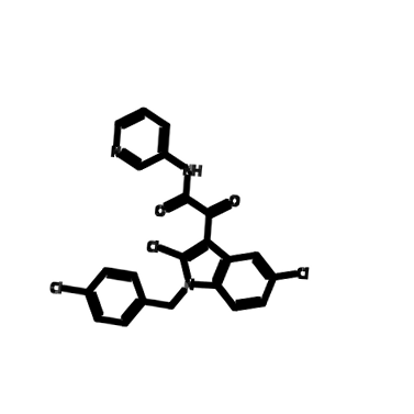 O=C(Nc1cccnc1)C(=O)c1c(Cl)n(Cc2ccc(Cl)cc2)c2ccc(Cl)cc12